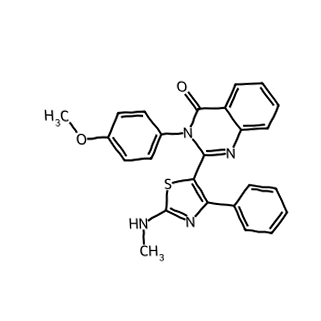 CNc1nc(-c2ccccc2)c(-c2nc3ccccc3c(=O)n2-c2ccc(OC)cc2)s1